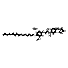 Br.CCCCCCCCCCCCCCCCOc1ccc(OCC(=O)Nc2ccc(CN3C=CSC3)cc2)cc1OC